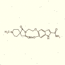 COc1cc2[nH]c(C(N)=O)cc2cc1OCCN1C(=O)CC2(CCN(C)CC2)C1=O